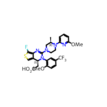 COc1cccc(N2CCN(C3=Nc4c(csc4F)[C@H](CC(=O)O)N3c3cc(C(F)(F)F)ccc3OC)C[C@H]2C)n1